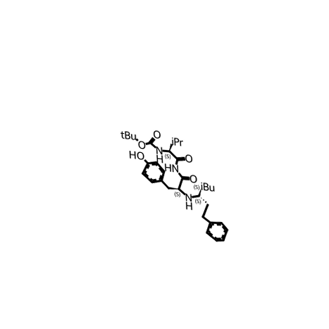 CC[C@H](C)[C@H](CCc1ccccc1)N[C@@H](Cc1ccc(O)cc1)C(=O)NC(=O)[C@@H](NC(=O)OC(C)(C)C)C(C)C